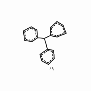 B.c1ccc(C(c2ccccc2)c2ccccc2)cc1